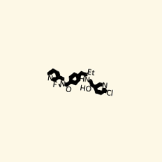 CC[C@@H](Cc1ccc(C(=O)N(C)Cc2cccnc2F)cc1)NC[C@H](O)c1ccc(Cl)nc1